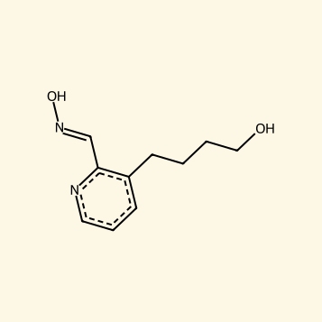 OCCCCc1cccnc1C=NO